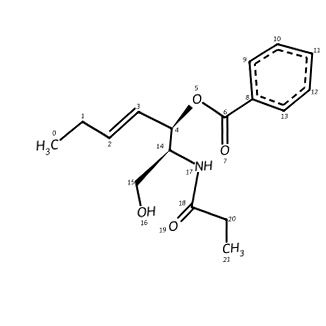 CC/C=C/[C@@H](OC(=O)c1ccccc1)[C@H](CO)NC(=O)CC